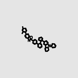 Cc1ccc(-c2ccc3nc(-c4ccc(-c5ccccc5-c5ccccc5-c5ccc6c(c5)c5c(n6-c6ccccc6)CCC=C5)cc4)oc3c2)c(C)c1